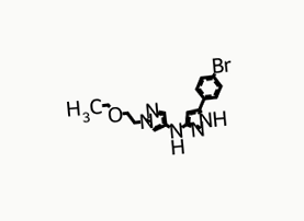 CCOCCn1cc(Nc2cc(-c3ccc(Br)cc3)[nH]n2)cn1